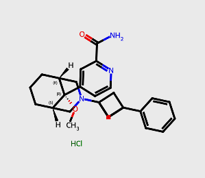 CO[C@@]1(c2ccnc(C(N)=O)c2)[C@@H]2CCC[C@H]1CN(C13CC(c4ccccc4)(C1)C3)C2.Cl